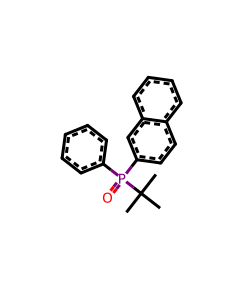 CC(C)(C)P(=O)(c1ccccc1)c1ccc2ccccc2c1